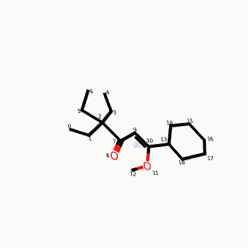 CCC(CC)(CC)C(=O)/C=C(\OC)C1CCCCC1